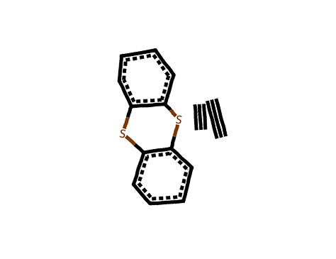 C#C.C#C.c1ccc2c(c1)Sc1ccccc1S2